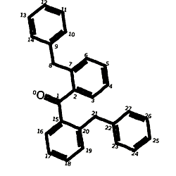 O=C(c1ccccc1Cc1ccccc1)c1ccccc1Cc1ccccc1